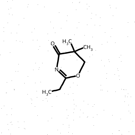 CCC1=NC(=O)C(C)(C)CO1